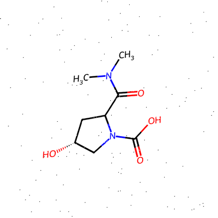 CN(C)C(=O)C1C[C@@H](O)CN1C(=O)O